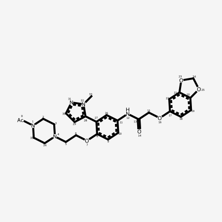 CC(=O)N1CCN(CCOc2ccc(NC(=O)COc3ccc4c(c3)OCO4)cc2-c2ccnn2C)CC1